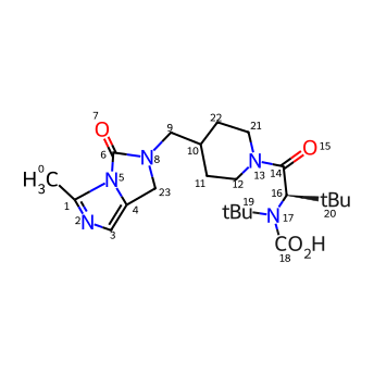 Cc1ncc2n1C(=O)N(CC1CCN(C(=O)[C@H](N(C(=O)O)C(C)(C)C)C(C)(C)C)CC1)C2